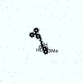 COc1cccc2c(O)c(C(=O)NCCCCN3CCC(=C(c4ccccc4)c4ccccc4)CC3)cnc12